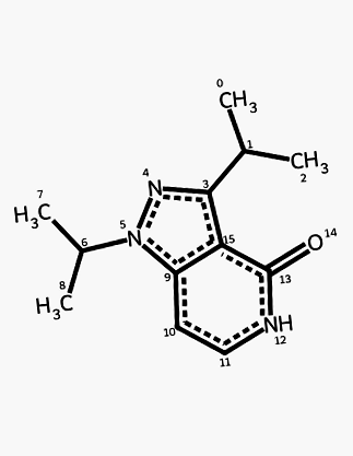 CC(C)c1nn(C(C)C)c2cc[nH]c(=O)c12